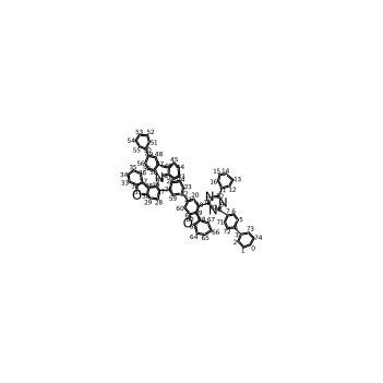 c1ccc(-c2ccc(-c3nc(-c4ccccc4)nc(-c4cc(-c5cccc(-c6ccc7oc8ccccc8c7c6-n6c7ccccc7c7cc(-c8ccccc8)ccc76)c5)cc5oc6ccccc6c45)n3)cc2)cc1